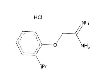 CC(C)c1ccccc1OCC(=N)N.Cl